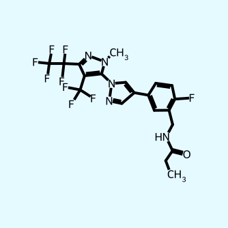 CCC(=O)NCc1cc(-c2cnn(-c3c(C(F)(F)F)c(C(F)(F)C(F)(F)F)nn3C)c2)ccc1F